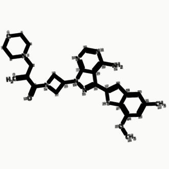 C=C(CN1CCOCC1)C(=O)N1CC(n2nc(-c3cc4cc(C)cc(OC)c4s3)c3c(N)ncnc32)C1